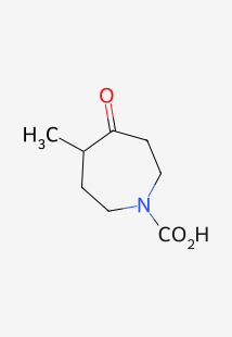 CC1CCN(C(=O)O)CCC1=O